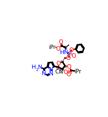 CC(C)OC(=O)[C@@H](C)N[P@@](=O)(OC[C@H]1O[C@@](C#N)(c2ccc3c(N)ncnn23)[C@](C)(O)[C@@H]1OC(=O)C(C)C)Oc1ccccc1